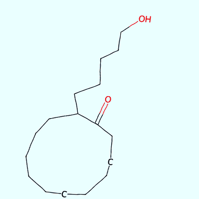 O=C1CCCCCCCCCCC1CCCCCO